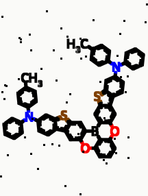 Cc1ccc(N(c2ccccc2)c2ccc3c(c2)sc2cc4c(cc23)Oc2cccc3c2B4c2cc4sc5cc(N(c6ccccc6)c6ccc(C)cc6)ccc5c4cc2O3)cc1